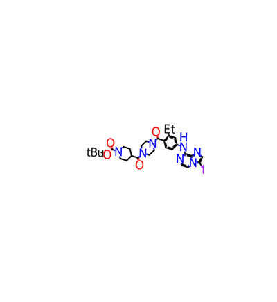 CCc1cc(Nc2nccn3c(I)cnc23)ccc1C(=O)N1CCN(C(=O)C2CCN(C(=O)OC(C)(C)C)CC2)CC1